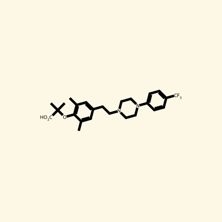 Cc1cc(CCN2CCN(c3ccc(C(F)(F)F)cc3)CC2)cc(C)c1OC(C)(C)C(=O)O